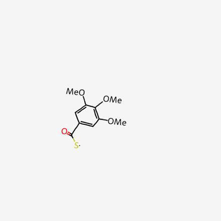 COc1cc(C(=O)[S])cc(OC)c1OC